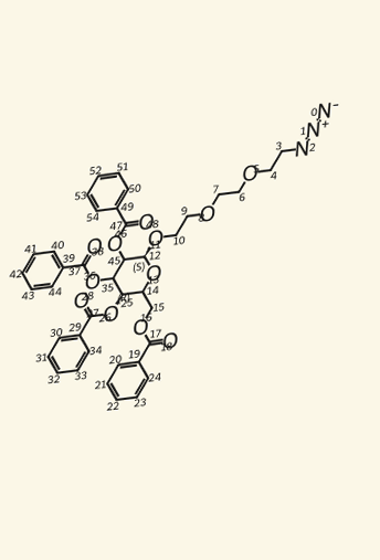 [N-]=[N+]=NCCOCCOCCO[C@H]1OC(COC(=O)c2ccccc2)[C@@H](OC(=O)c2ccccc2)C(OC(=O)c2ccccc2)C1OC(=O)c1ccccc1